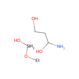 CCO[SiH2]O.NC(O)CCO